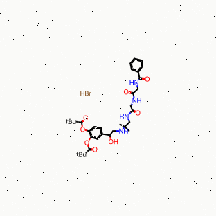 Br.CC(C)(CNC(=O)CNC(=O)CNC(=O)c1ccccc1)NCC(O)c1ccc(OC(=O)C(C)(C)C)c(OC(=O)C(C)(C)C)c1